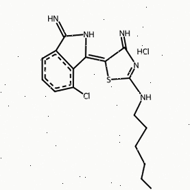 CCCCCCNC1=NC(=N)C(=C2NC(=N)c3cccc(Cl)c32)S1.Cl